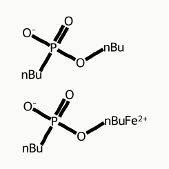 CCCCOP(=O)([O-])CCCC.CCCCOP(=O)([O-])CCCC.[Fe+2]